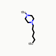 CC(C)(C)CCCCCN1CCN(C(C)(C)C)CC1